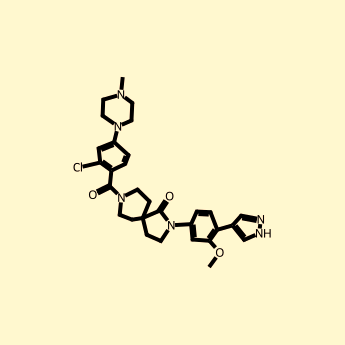 COc1cc(N2CCC3(CCN(C(=O)c4ccc(N5CCN(C)CC5)cc4Cl)CC3)C2=O)ccc1-c1cn[nH]c1